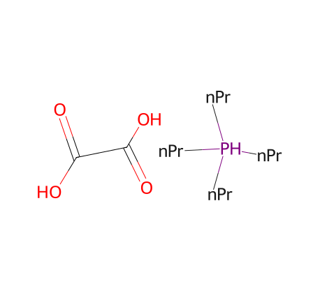 CCC[PH](CCC)(CCC)CCC.O=C(O)C(=O)O